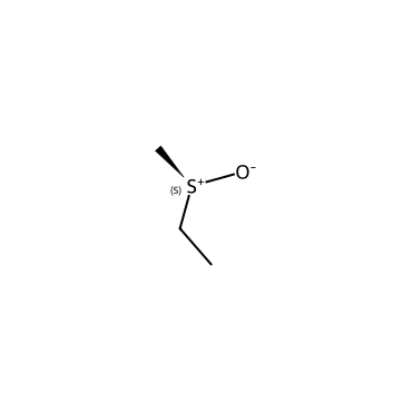 CC[S@@+](C)[O-]